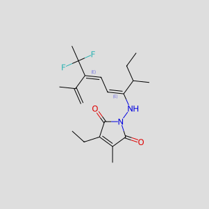 C=C(C)/C(=C\C=C(\NN1C(=O)C(C)=C(CC)C1=O)C(C)CC)C(C)(F)F